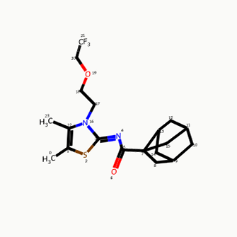 Cc1s/c(=N\C(=O)C23CC4CC(CC2C4)C3)n(CCOCC(F)(F)F)c1C